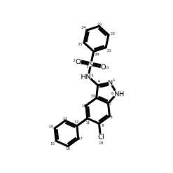 O=S(=O)(Nc1n[nH]c2cc(Cl)c(-c3ccccc3)cc12)c1ccccc1